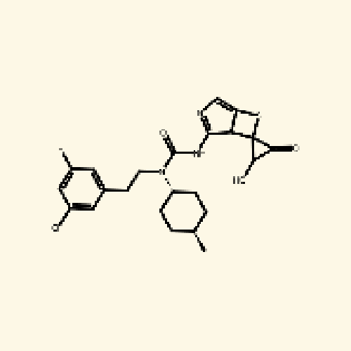 C[C@H]1CC[C@H](N(CCc2cc(F)cc(Cl)c2)C(=O)NC2=NC=C3SC4(C(=O)C4O)C32)CC1